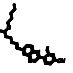 CCCCCOC(C)CCC/C=C/c1ccc2nc(-c3ccc(O)cc3F)cnc2c1